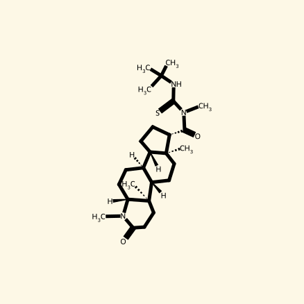 CN(C(=O)[C@H]1CC[C@H]2[C@@H]3CC[C@H]4N(C)C(=O)CC[C@]4(C)[C@H]3CC[C@]12C)C(=S)NC(C)(C)C